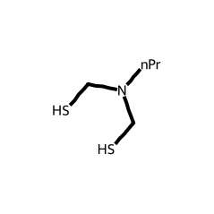 CCCN(CS)CS